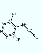 Fc1cncc(F)c1N=C=S